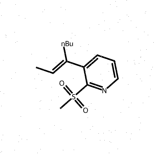 CC=C(CCCC)c1cccnc1S(C)(=O)=O